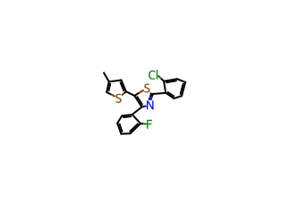 Cc1csc(-c2sc(-c3ccccc3Cl)nc2-c2ccccc2F)c1